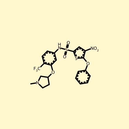 CN1CCC(Oc2cc(NS(=O)(=O)c3cc([N+](=O)[O-])c(Oc4ccccc4)s3)ccc2C(F)(F)F)C1